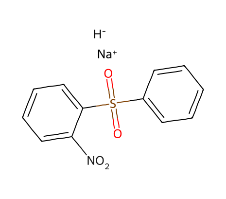 O=[N+]([O-])c1ccccc1S(=O)(=O)c1ccccc1.[H-].[Na+]